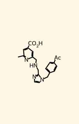 CC(=O)c1ccc(Cn2ccnc2CNCc2cc(C(=O)O)cc(C)n2)cc1